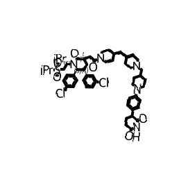 CC(C)[C@@H](CS(=O)(=O)C(C)C)N1C(=O)[C@@](C)(CC(=O)N2CCC(CC3CCN(CC4CCN(c5ccc(C6CCC(=O)NC6=O)cc5)CC4)CC3)CC2)C[C@H](c2cccc(Cl)c2)[C@H]1c1ccc(Cl)cc1